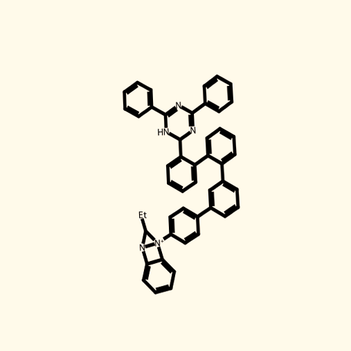 CCC1N2c3ccccc3[N+]12c1ccc(-c2cccc(-c3ccccc3-c3ccccc3C3N=C(c4ccccc4)N=C(c4ccccc4)N3)c2)cc1